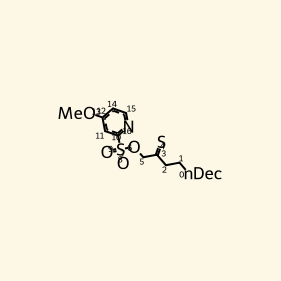 CCCCCCCCCCCCC(=S)COS(=O)(=O)c1cc(OC)ccn1